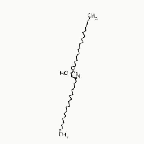 CCCCCCCCCCCCCCCCCCCc1ccc(OCCCCCCCCCCCCCCCCCC)cn1.Cl